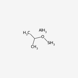 CC(C)O[SiH3].[AlH3]